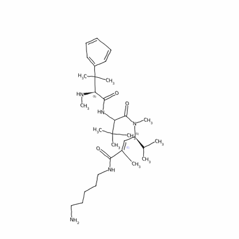 CN[C@H](C(=O)NC(C(=O)N(C)[C@H](/C=C(\C)C(=O)NCCCCCN)C(C)C)C(C)(C)C)C(C)(C)c1ccccc1